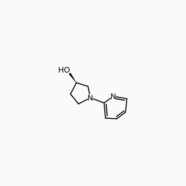 O[C@@H]1CCN(c2ccccn2)C1